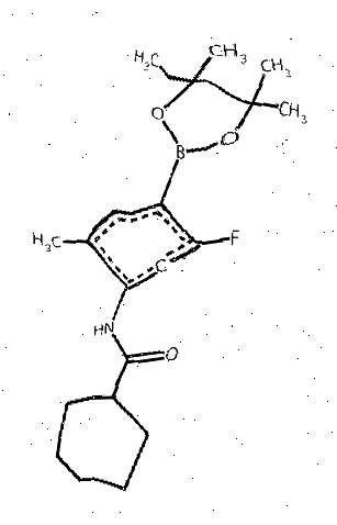 Cc1cc(B2OC(C)(C)C(C)(C)O2)c(F)cc1NC(=O)C1CCCCC1